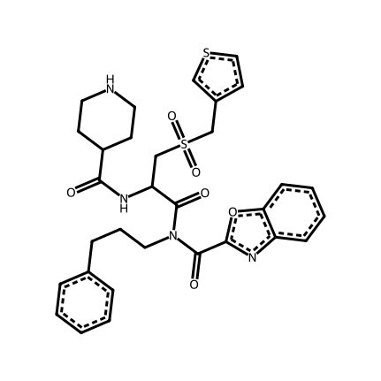 O=C(NC(CS(=O)(=O)Cc1ccsc1)C(=O)N(CCCc1ccccc1)C(=O)c1nc2ccccc2o1)C1CCNCC1